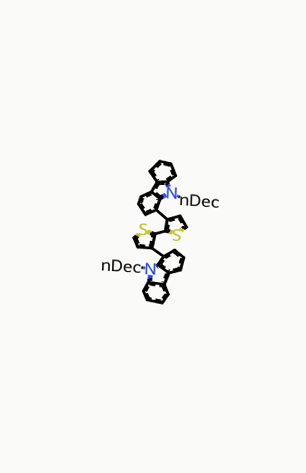 CCCCCCCCCCn1c2ccccc2c2cccc(-c3ccsc3-c3sccc3-c3cccc4c5ccccc5n(CCCCCCCCCC)c34)c21